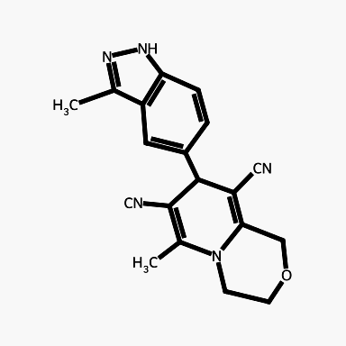 [C-]#[N+]C1=C(C)N2CCOCC2=C(C#N)C1c1ccc2[nH]nc(C)c2c1